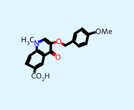 COc1ccc(COc2cn(C)c3ccc(C(=O)O)cc3c2=O)cc1